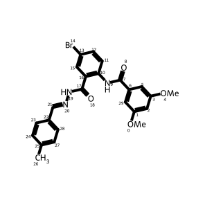 COc1cc(OC)cc(C(=O)Nc2ccc(Br)cc2C(=O)NN=Cc2ccc(C)cc2)c1